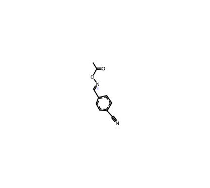 CC(=O)O/N=C/c1ccc(C#N)cc1